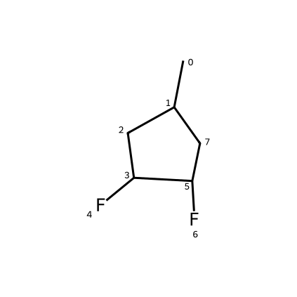 CC1CC(F)C(F)C1